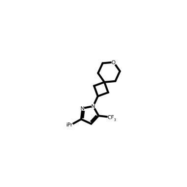 CC(C)c1cc(C(F)(F)F)n(C2CC3(CCOCC3)C2)n1